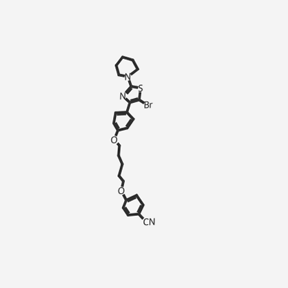 N#Cc1ccc(OCCCCCOc2ccc(-c3nc(N4CCCCC4)sc3Br)cc2)cc1